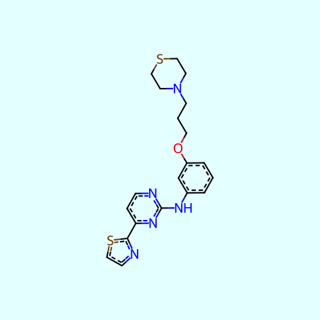 c1cc(Nc2nccc(-c3nccs3)n2)cc(OCCCN2CCSCC2)c1